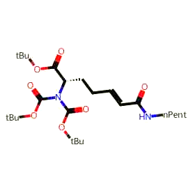 CCCCCNC(=O)/C=C/CC[C@@H](C(=O)OC(C)(C)C)N(C(=O)OC(C)(C)C)C(=O)OC(C)(C)C